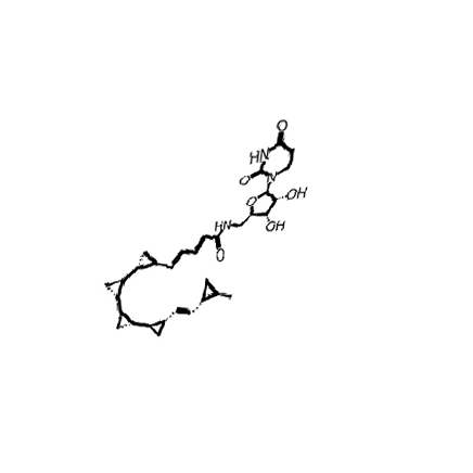 C[C@@H]1C[C@H]1/C=C/[C@@H]1C[C@H]1[C@@H]1C[C@H]1[C@@H]1C[C@H]1[C@@H]1C[C@H]1/C=C/C=C/C(=O)NC[C@H]1O[C@@H](N2CCC(=O)NC2=O)[C@H](O)[C@@H]1O